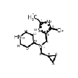 Cc1nc(Cl)c(CN(CC2CC2)C2CCNCC2)s1